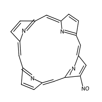 O=NC1=CC2=CC3=NC(=CC4=NC(=CC5=NC(=CC1=N2)C=C5)C=C4)C=C3